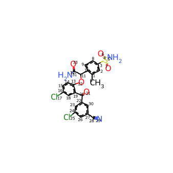 Cc1cc(S(N)(=O)=O)ccc1C(Oc1ccc(Cl)cc1C(=O)c1cc(Cl)cc(C#N)c1)C(N)=O